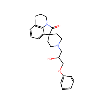 O=C1N2CCCc3cccc(c32)C12CCN(CC(O)COc1ccccc1)CC2